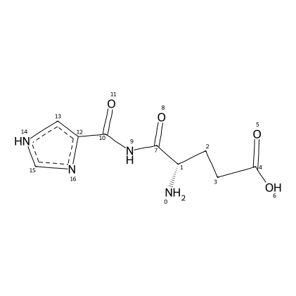 N[C@@H](CCC(=O)O)C(=O)NC(=O)c1c[nH]cn1